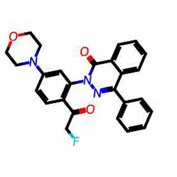 O=C(CF)c1ccc(N2CCOCC2)cc1-n1nc(-c2ccccc2)c2ccccc2c1=O